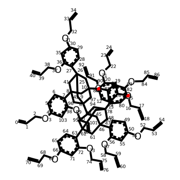 C=CCOc1ccc(C23CC4(c5ccc(OCC=C)cc5OCC=C)CC(c5ccc(OCC=C)cc5OCC=C)(C2)CC(C25CC6(c7ccc(OCC=C)cc7OCC=C)CC(c7ccc(OCC=C)cc7OCC=C)(CC(c7ccc(OCC=C)cc7OCC=C)(C6)C2)C5)(C3)C4)c(OCC=C)c1